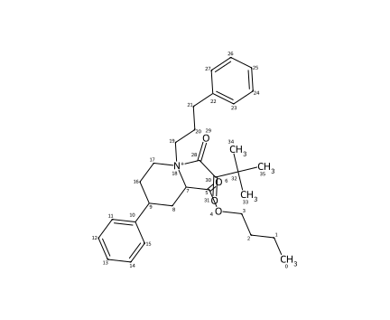 CCCCOC(=O)C1CC(c2ccccc2)CC[N+]1(CCCc1ccccc1)C(=O)C(=O)C(C)(C)C